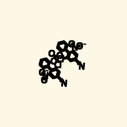 N#Cc1cc(Cl)c(-c2ccccc2OC(=O)Oc2ccccc2-c2c(Cl)cc(C#N)cc2[N+](=O)[O-])c([N+](=O)[O-])c1